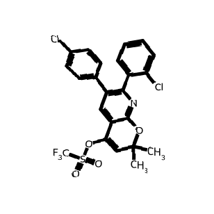 CC1(C)C=C(OS(=O)(=O)C(F)(F)F)c2cc(-c3ccc(Cl)cc3)c(-c3ccccc3Cl)nc2O1